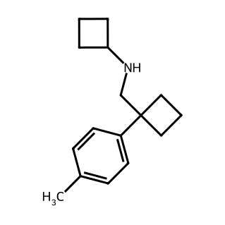 Cc1ccc(C2(CNC3CCC3)CCC2)cc1